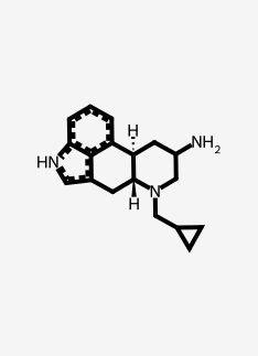 NC1C[C@@H]2c3cccc4[nH]cc(c34)C[C@H]2N(CC2CC2)C1